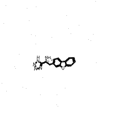 N[C@@H](Cc1ccc2c(c1)oc1ccccc12)c1nnn[nH]1